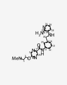 CNCCOc1cnc(C(=O)Nc2cccc(CNc3cccnc3N)c2)cn1